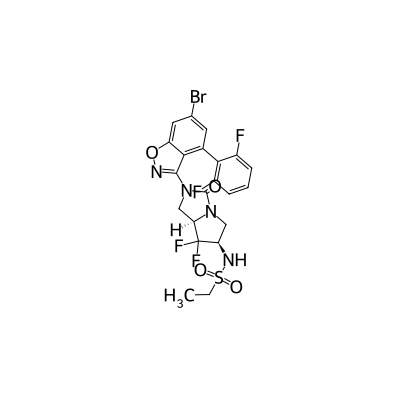 CCS(=O)(=O)N[C@@H]1CN2C(=O)N(c3noc4cc(Br)cc(-c5c(F)cccc5F)c34)C[C@@H]2C1(F)F